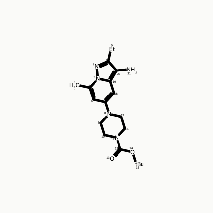 CCc1nn2c(C)cc(N3CCN(C(=O)OC(C)(C)C)CC3)cc2c1N